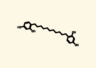 Oc1ccc(CCCCCCCCCCCc2ccc(O)cc2O)c(O)c1